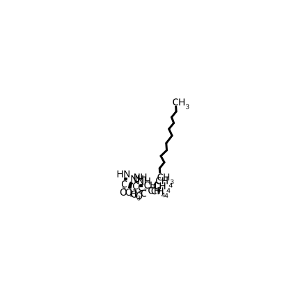 C.C.C.C.CC.CCCCCCCCCCCC.N=C=O.N=C=O.N=C=O.N=C=O